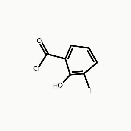 O=C(Cl)c1cccc(I)c1O